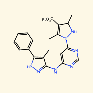 CCOC(=O)C1=C(C)N(c2cc(Nc3n[nH]c(-c4ccccc4)c3C)ncn2)NC1C